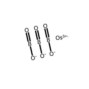 O=B[O-].O=B[O-].O=B[O-].[Os+3]